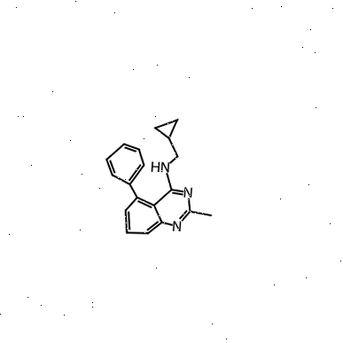 Cc1nc(NCC2CC2)c2c(-c3ccccc3)cccc2n1